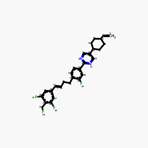 C=CC1CCC(c2cnc(-c3ccc(CC/C=C/c4cc(F)c(CF)c(F)c4)c(F)c3)nc2)CC1